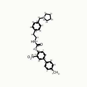 Cc1ccc(-c2ccc(OC(=O)NCCc3ccc(CN4CCCC4)cc3)c([N+](=O)[O-])c2)cc1